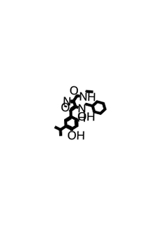 CCNC(=O)c1noc(-c2cc(C(C)C)c(O)cc2O)c1NCC1CCCCC1